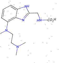 CN(C)CCN(C)c1cccc2[nH]c(CNC(=O)O)nc12